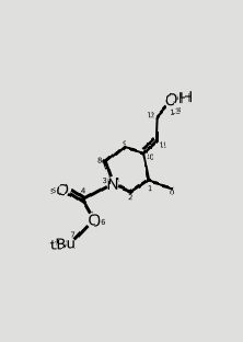 CC1CN(C(=O)OC(C)(C)C)CCC1=CCO